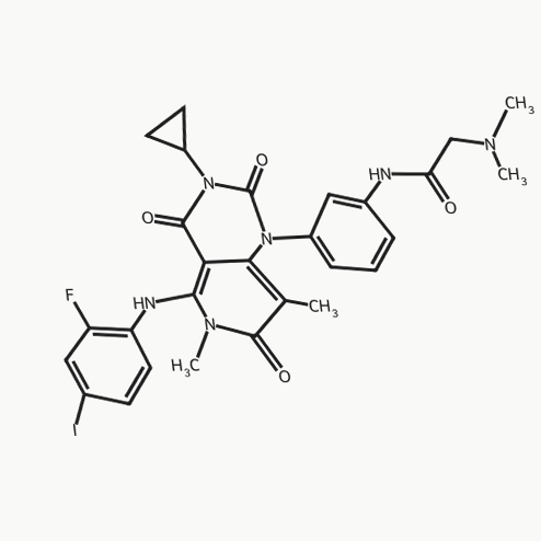 Cc1c(=O)n(C)c(Nc2ccc(I)cc2F)c2c(=O)n(C3CC3)c(=O)n(-c3cccc(NC(=O)CN(C)C)c3)c12